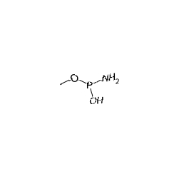 COP(N)O